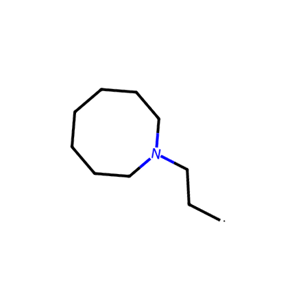 [CH2]CCN1CCCCCCC1